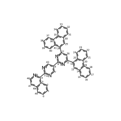 c1ccc2c(-c3ncc(-c4nc(-c5cc6ccccc6c6ccccc56)cc(-c5cc6ccccc6c6ccccc56)n4)cn3)nccc2c1